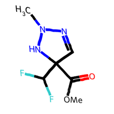 COC(=O)C1(C(F)F)C=NN(C)N1